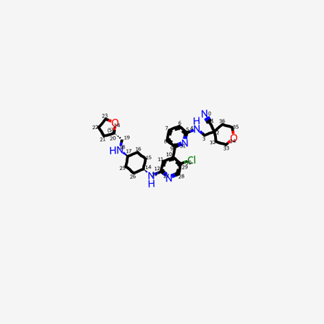 N#CC1(CNc2cccc(-c3cc(N[C@H]4CC[C@H](NC[C@@H]5CCCO5)CC4)ncc3Cl)n2)CCOCC1